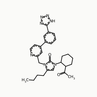 CCCCc1cn(C2CCCCC2C(C)=O)c(=O)n1Cc1cc(-c2cccc(-c3nnn[nH]3)c2)ccn1